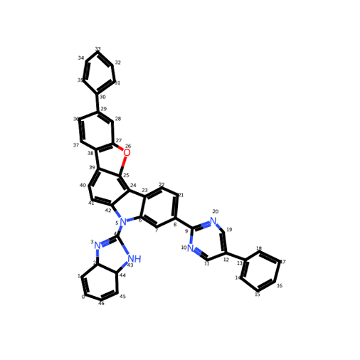 C1=CC2N=C(n3c4cc(-c5ncc(-c6ccccc6)cn5)ccc4c4c5oc6cc(-c7ccccc7)ccc6c5ccc43)NC2C=C1